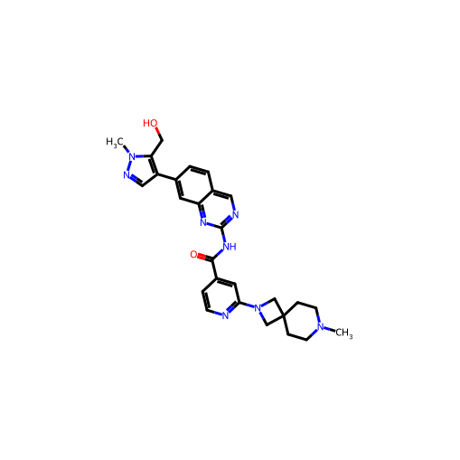 CN1CCC2(CC1)CN(c1cc(C(=O)Nc3ncc4ccc(-c5cnn(C)c5CO)cc4n3)ccn1)C2